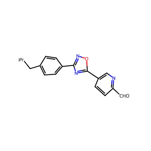 CC(C)Cc1ccc(-c2noc(-c3ccc(C=O)nc3)n2)cc1